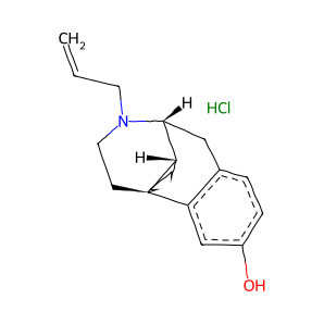 C=CCN1CC[C@]23CCCC[C@H]2[C@H]1Cc1ccc(O)cc13.Cl